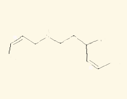 C/C=C\CNCCC(/C=C\C)CCC